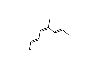 [CH2]C=CC=C(C)C=C[CH2]